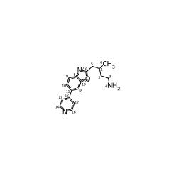 CC(CCN)Cc1nc2ccc(-c3ccncc3)cc2o1